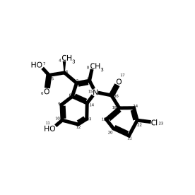 Cc1c([C@H](C)C(=O)O)c2cc(O)ccc2n1C(=O)c1cccc(Cl)c1